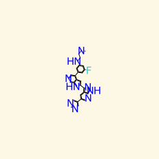 CN(C)CCNc1cc(F)cc(-c2cncc3[nH]c(-c4n[nH]c5ncc(-c6cncnc6)cc45)cc23)c1